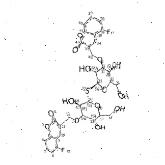 O=c1oc2cccc(F)c2cc1COC1[C@@H](O)C(CO)O[C@@H](S[C@@H]2OC(CO)[C@H](O)[C@H](OCc3cc4c(F)cccc4oc3=O)C2O)[C@@H]1O